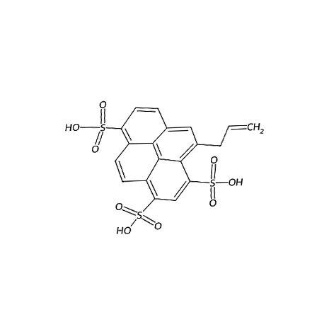 C=CCc1cc2ccc(S(=O)(=O)O)c3ccc4c(S(=O)(=O)O)cc(S(=O)(=O)O)c1c4c23